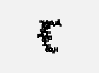 Cc1cc(OCC2CC2)nc(-c2cc(F)c(OCCCC(=O)O)c(Cl)c2)n1